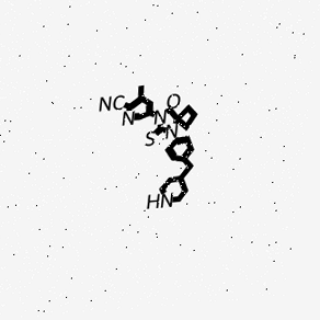 Cc1cc(N2C(=O)C3(CCC3)N(c3ccc(CC4CCNCC4)cc3)C2=S)cnc1C#N